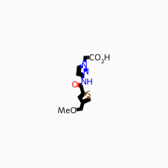 COCc1csc(C(=O)Nc2ccn(CC(=O)O)n2)c1